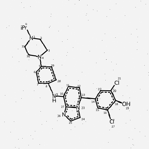 CC(C)N1CCN(c2ccc(Nc3ccc(-c4cc(Cl)c(O)c(Cl)c4)n4ccnc34)cc2)CC1